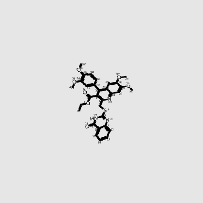 CCOC(=O)c1c(CSc2nc3ccccc3c(=O)[nH]2)nc2cc(OC)c(OC)cc2c1-c1ccc(OC)c(OC)c1